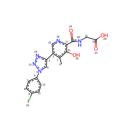 Cc1c(-c2cn(-c3ccc(F)cc3)nn2)cnc(C(=O)NCC(=O)O)c1O